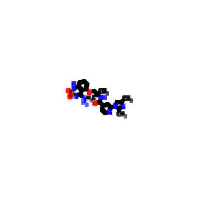 Cc1cn(-c2cc(C(=O)NC(C)(C)COc3cccc4c3C(N)=NS(=O)(=O)N4)ccn2)c(C)n1